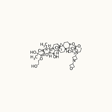 C[C@@H]1C[C@H]([C@H](OCCO)C(C)(C)O)O[C@H]2[C@H]1[C@@]1(C)CC[C@@]34CC35CC[C@H](O[C@H]3CN(C6CN(C7COC7)C6)CCO3)C(C)(C)[C@@H]5CC[C@H]4C1[C@H]2O